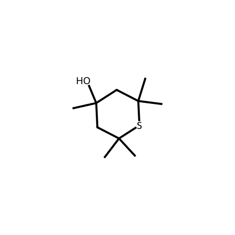 CC1(O)CC(C)(C)SC(C)(C)C1